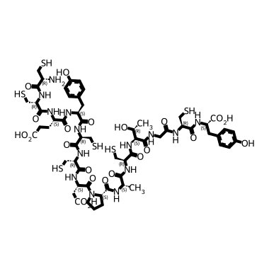 C[C@H](NC(=O)[C@@H]1CCCN1C(=O)[C@H](CC(=O)O)NC(=O)[C@H](CS)NC(=O)[C@H](CS)NC(=O)[C@H](Cc1ccc(O)cc1)NC(=O)[C@H](CCC(=O)O)NC(=O)[C@H](CS)NC(=O)[C@@H](N)CS)C(=O)N[C@@H](CS)C(=O)N[C@H](C(=O)NCC(=O)N[C@@H](CS)C(=O)N[C@@H](Cc1ccc(O)cc1)C(=O)O)[C@@H](C)O